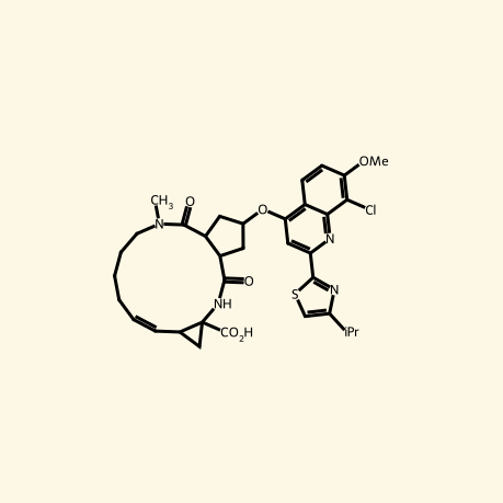 COc1ccc2c(OC3CC4C(=O)NC5(C(=O)O)CC5/C=C\CCCCN(C)C(=O)C4C3)cc(-c3nc(C(C)C)cs3)nc2c1Cl